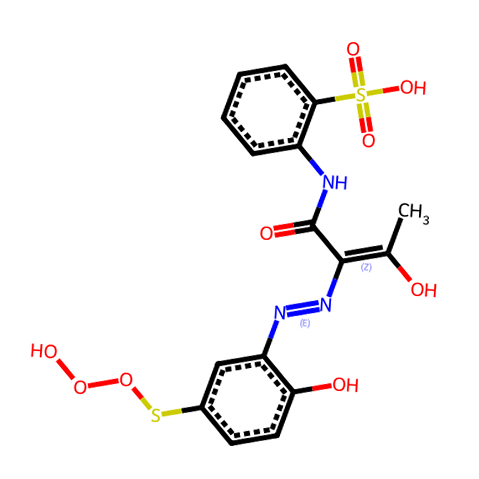 C/C(O)=C(/N=N/c1cc(SOOO)ccc1O)C(=O)Nc1ccccc1S(=O)(=O)O